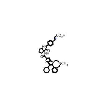 CN1CCn2c(c(C3CCCCC3)c3sc(C(=O)NC4(C(=O)Nc5ccc(/C=C/C(=O)O)cc5)CCCC4)cc32)-c2ccccc2C1